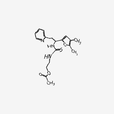 CC(=O)OCCNC(=S)NC(Cc1ccccn1)c1cc(C)c(C)o1